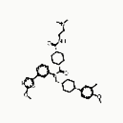 COc1ncc(-c2cccc(N(C[C@H]3CC[C@H](c4ccc(OC)c(C)c4)CC3)C(=O)[C@H]3CC[C@H](C(=O)NCCN(C)C)CC3)c2)s1